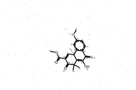 COC(=O)C1=C[C@]2(C)C(=C(O)C(=O)c3ccc(OC)cc32)C(C)(C)C1=O